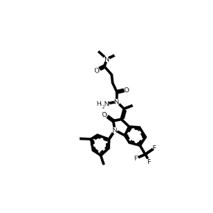 C/C(=C1/C(=O)N(c2cc(C)cc(C)c2)c2cc(C(F)(F)F)ccc21)N(N)C(=O)CCC(=O)N(C)C